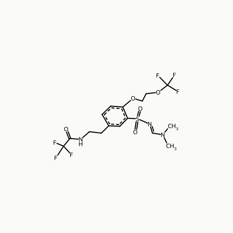 CN(C)C=NS(=O)(=O)c1cc(CCNC(=O)C(F)(F)F)ccc1OCCOC(F)(F)F